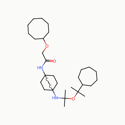 CC(C)(NC12CCC(NC(=O)COC3CCCCCCC3)(CC1)CC2)OC(C)(C)C1CCCCCC1